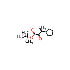 C=C(C(=O)C(=O)OC(C)(C)C)C1CCCC1